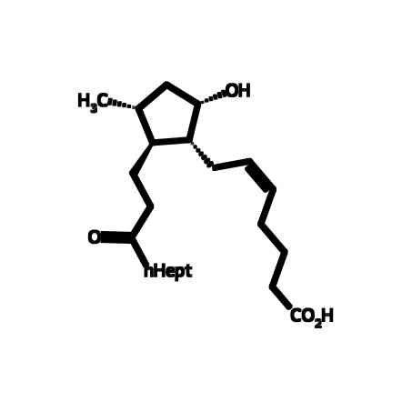 CCCCCCCC(=O)CC[C@@H]1[C@@H](C/C=C\CCCC(=O)O)[C@@H](O)C[C@H]1C